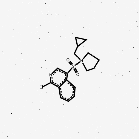 O=S(=O)(c1cnc(Cl)c2ccccc12)[N+]1(CC2CC2)CCCC1